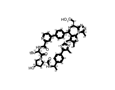 Cc1ncsc1-c1ccc(C(C)NC(=O)[C@@H]2C[C@@H](O)CN2C(=O)C(NC(=O)c2cc(-c3ccc(C4=N[C@@H](CC(=O)O)c5nnc(C)n5-c5sc(C)c(C)c54)cc3)ccn2)C(C)(C)C)cc1